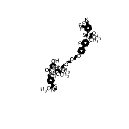 Cc1ncsc1-c1ccc(CNC(=O)[C@@H]2C[C@@H](O)CN2C(=O)[C@@H](NC(=O)COCCOCCOc2ccc(-c3ccc(N4C(=S)N(c5ccc(C#N)c(C(F)(F)F)c5)C(=O)C4(C)C)cc3F)cc2)C(C)(C)C)cc1